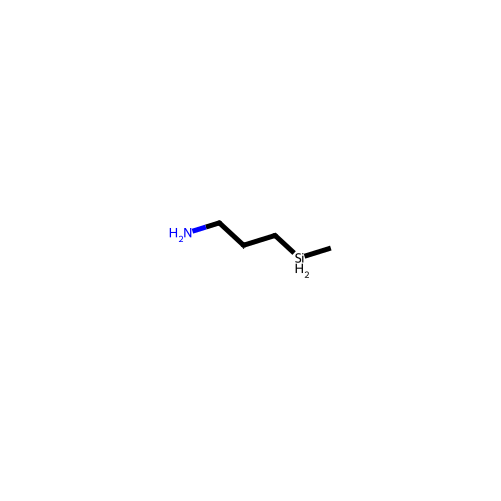 C[SiH2]C[CH]CN